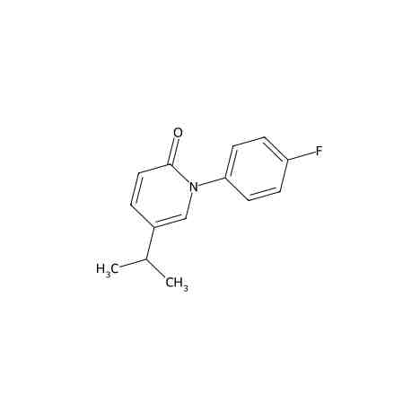 CC(C)c1ccc(=O)n(-c2ccc(F)cc2)c1